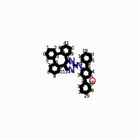 c1ccc2c(c1)-c1ccccc1-c1cnc(-n3c4ccccc4c4cc5oc6ccccc6c5cc43)nc1-c1ccccc1-2